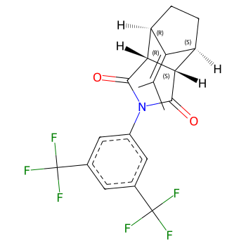 CC(C)=C1[C@H]2CC[C@@H]1[C@H]1C(=O)N(c3cc(C(F)(F)F)cc(C(F)(F)F)c3)C(=O)[C@H]12